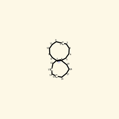 C1CCCCC/C2=C(\CCCC1)CCCCCCCC2